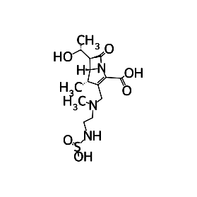 C[C@@H](O)[C@H]1C(=O)N2C(C(=O)O)=C(CN(C)CCNS(=O)O)[C@H](C)[C@H]12